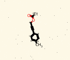 CCC(=O)OCC#Cc1ccc(C)cc1